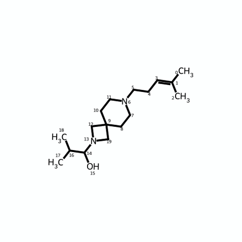 CC(C)=CCCN1CCC2(CC1)CN(C(O)C(C)C)C2